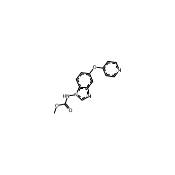 COC(=O)Nn1cnc2cc(Oc3ccncc3)ccc21